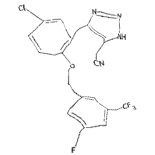 N#Cc1[nH]nnc1-c1cc(Cl)ccc1OCc1cc(F)cc(C(F)(F)F)c1